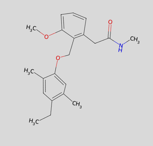 CCc1cc(C)c(OCc2c(CC(=O)NC)cccc2OC)cc1C